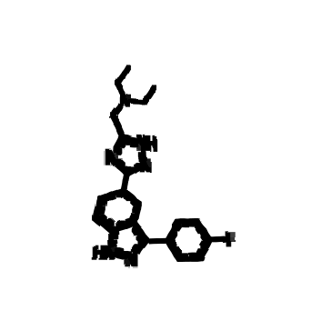 CCN(CC)Cc1nc(-c2ccc3[nH]nc(-c4ccc(F)cc4)c3c2)n[nH]1